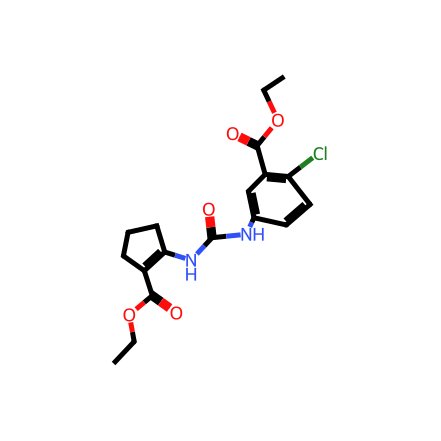 CCOC(=O)C1=C(NC(=O)Nc2ccc(Cl)c(C(=O)OCC)c2)CCC1